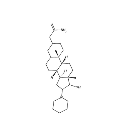 C=C(N)CC1CC[C@@]2(C)C(CC[C@@H]3[C@H]2CC[C@]2(C)C(O)C(N4CCCCC4)C[C@@H]32)C1